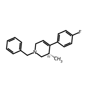 C[C@@H]1CN(Cc2ccccc2)CC=C1c1ccc(F)cc1